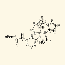 CCCCCC(=O)Nc1cccc(CC2(C(=NO)n3nnnc3C)C=CC=C(C)N2)n1